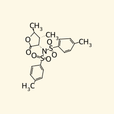 Cc1ccc(S(=O)(=O)N([C@@H]2C(=O)O[C@@H](C)[C@@H]2C)S(=O)(=O)c2ccc(C)cc2)cc1